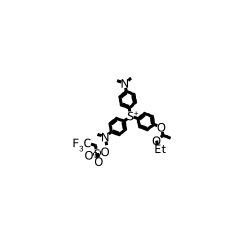 CCOC(C)Oc1ccc([S+](c2ccc(N(C)C)cc2)c2ccc(N(C)C)cc2)cc1.O=S(=O)([O-])CC(F)(F)F